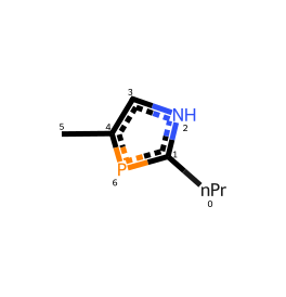 CCCc1[nH]cc(C)p1